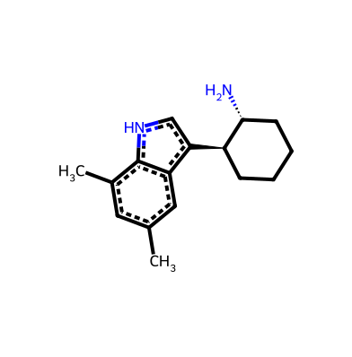 Cc1cc(C)c2[nH]cc([C@@H]3CCCC[C@H]3N)c2c1